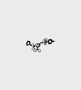 COC(=O)[C@@H]1C[C@H](CCOS(=O)(=O)c2ccc(C)cc2)CN1C(=O)OCc1ccccc1